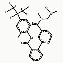 Cc1cc(C(F)(C(F)(F)F)C(F)(F)F)cc(C)c1NC(=O)c1ccccc1-c1cccc(C(=O)N(C)C[S+](C)[O-])c1